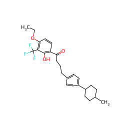 CCOc1ccc(C(=O)CCCc2ccc(C3CCC(C)CC3)cc2)c(O)c1C(F)(F)F